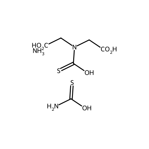 N.NC(O)=S.O=C(O)CN(CC(=O)O)C(O)=S